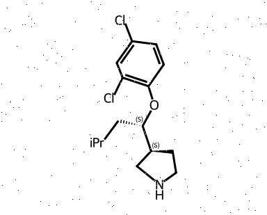 CC(C)C[C@H](Oc1ccc(Cl)cc1Cl)[C@H]1CCNC1